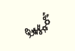 Cc1sc(-c2cccc(OC(F)F)c2)cc1C(=O)Nc1nc(CC(C)N2CCOCC2)ns1